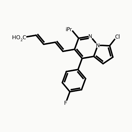 CC(C)c1nn2c(Cl)ccc2c(-c2ccc(F)cc2)c1C=CC=CC(=O)O